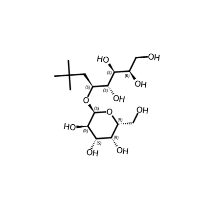 CC(C)(C)C[C@H](O[C@H]1O[C@H](CO)[C@H](O)[C@H](O)[C@H]1O)[C@@H](O)[C@@H](O)[C@H](O)CO